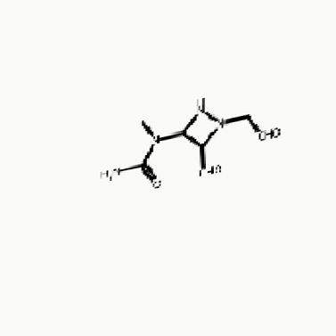 CN(C(N)=O)C1NN(CC=O)C1C=O